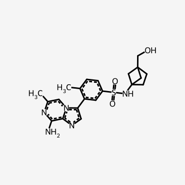 Cc1cn2c(-c3cc(S(=O)(=O)NC45CCC(CO)(C4)C5)ccc3C)cnc2c(N)n1